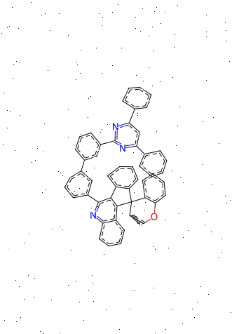 c1ccc(-c2cc(-c3ccccc3)nc(-c3cccc(-c4cccc(-c5nc6ccccc6c6c5-c5ccccc5C65c6ccccc6Oc6ccccc65)c4)c3)n2)cc1